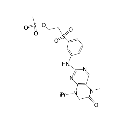 CC(C)N1CC(=O)N(C)c2cnc(Nc3cccc(S(=O)(=O)CCOS(C)(=O)=O)c3)nc21